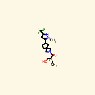 CC[C@H](CO)C(=O)N1CC2(CCC(c3cc(C(F)(F)F)nn3C)C2)C1